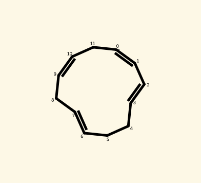 [C]1=C\C=C\CC/C=C/C/C=C\C/1